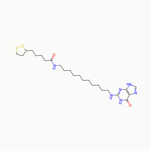 O=C(CCCCC1CCSS1)NCCCCCCCCCCCNc1nc2[nH]cnc2c(=O)[nH]1